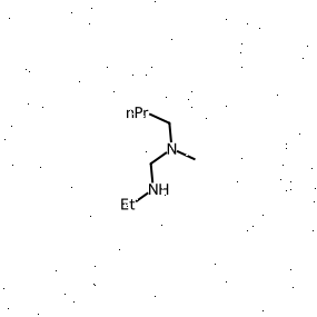 CCCCN(C)CNCC